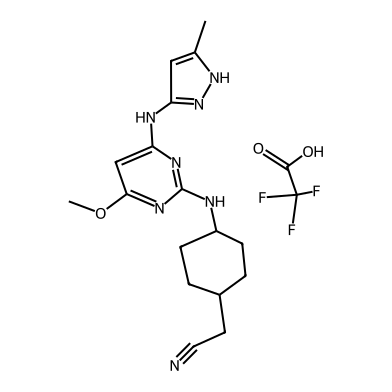 COc1cc(Nc2cc(C)[nH]n2)nc(NC2CCC(CC#N)CC2)n1.O=C(O)C(F)(F)F